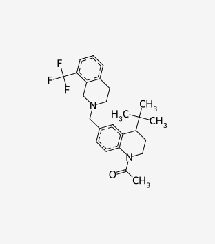 CC(=O)N1CCC(C(C)(C)C)c2cc(CN3CCc4cccc(C(F)(F)F)c4C3)ccc21